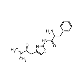 CN(C)C(=O)Cc1csc(NC(=O)C(N)Cc2ccccc2)n1